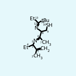 C=C(C)C(CC)/N=C(\C)C(CS)/N=C(/CC)C(C)(C)C